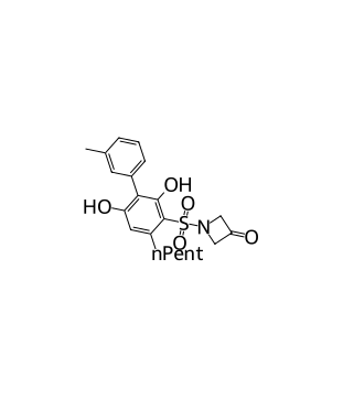 CCCCCc1cc(O)c(-c2cccc(C)c2)c(O)c1S(=O)(=O)N1CC(=O)C1